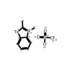 Cc1[te]c2ccccc2[n+]1C.O=S(=O)([O-])C(F)(F)F